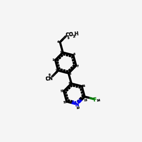 [C-]#[N+]c1cc(CC(=O)O)ccc1-c1ccnc(F)c1